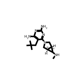 CNC1[C@H]2CN(c3nc(N)nc(N)c3CC(C)(C)C)C[C@@H]12